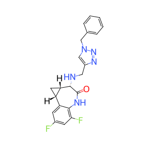 O=C1Nc2c(F)cc(F)cc2[C@@H]2C[C@@H]2[C@@H]1NCc1cn(Cc2ccccc2)nn1